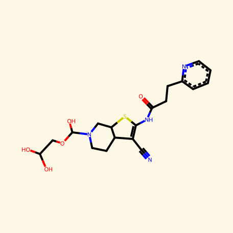 N#CC1=C(NC(=O)CCc2ccccn2)SC2CN(C(O)OCC(O)O)CCC12